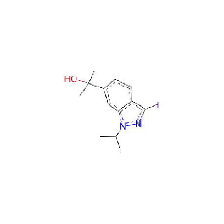 CC(C)n1nc(I)c2ccc(C(C)(C)O)cc21